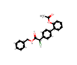 CC(=O)Oc1ccccc1-c1ccc(C(Cl)C(=O)OCc2ccccc2)cc1